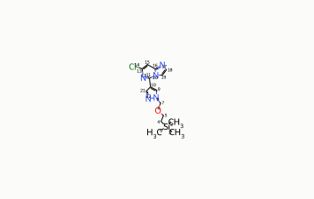 C[Si](C)(C)CCOCn1cc(-c2nc(Cl)cc3nccn23)cn1